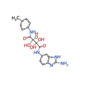 Cc1ccc(NC(=O)C(O)(O)C(O)(O)C(=O)Nc2ccc3nc(N)[nH]c3c2)cc1